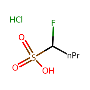 CCCC(F)S(=O)(=O)O.Cl